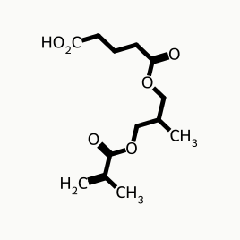 C=C(C)C(=O)OCC(C)COC(=O)CCCC(=O)O